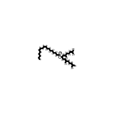 CCCCC/C=C\C/C=C\CCCCCCCC(=O)OC(/C=C(\C)CCC=C(C)C)C/C=C(\C)CCC=C(C)C